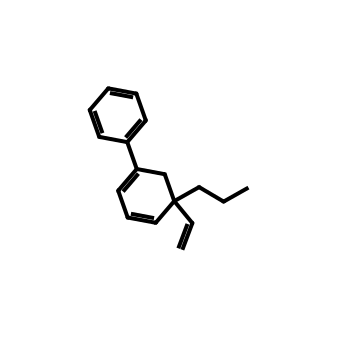 C=CC1(CCC)C=CC=C(c2ccccc2)C1